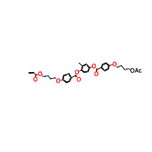 C=CC(=O)OCCCCOc1ccc(C(=O)Oc2ccc(OC(=O)c3ccc(OCCCCOC(C)=O)cc3)cc2C)cc1